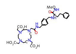 CONC(=O)[C@@H](CCc1ccccc1)NCc1ccc(CNC(=O)CN2CCN(CC(=O)O)CCN(CC(=O)O)CCN(CC(=O)O)CC2)cc1